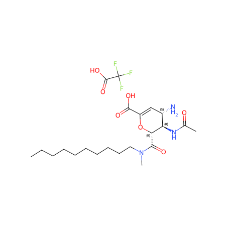 CCCCCCCCCCN(C)C(=O)[C@@H]1OC(C(=O)O)=C[C@H](N)[C@H]1NC(C)=O.O=C(O)C(F)(F)F